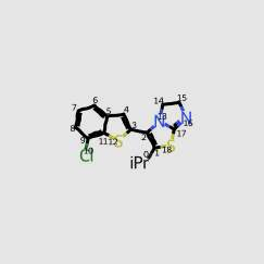 CC(C)C1=C(c2cc3cccc(Cl)c3s2)N2CCN=C2S1